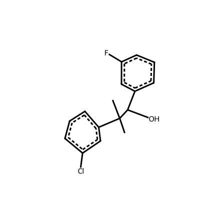 CC(C)(c1cccc(Cl)c1)C(O)c1cccc(F)c1